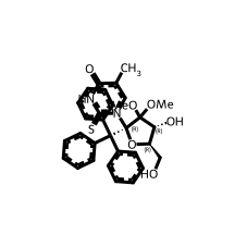 COC1(OC)[C@H](O)[C@@H](CO)O[C@]1(n1cc(C)c(=O)[nH]c1=S)C(c1ccccc1)(c1ccccc1)c1ccccc1